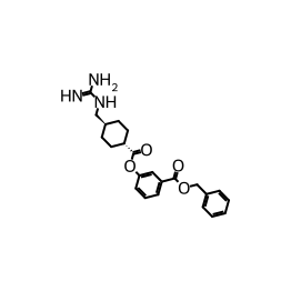 N=C(N)NC[C@H]1CC[C@H](C(=O)Oc2cccc(C(=O)OCc3ccccc3)c2)CC1